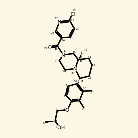 Cc1c(OC[C@H](C)O)ccc([C@H]2CCC[C@H]3CN(C(=O)c4ccc(Cl)nc4)CCN32)c1C